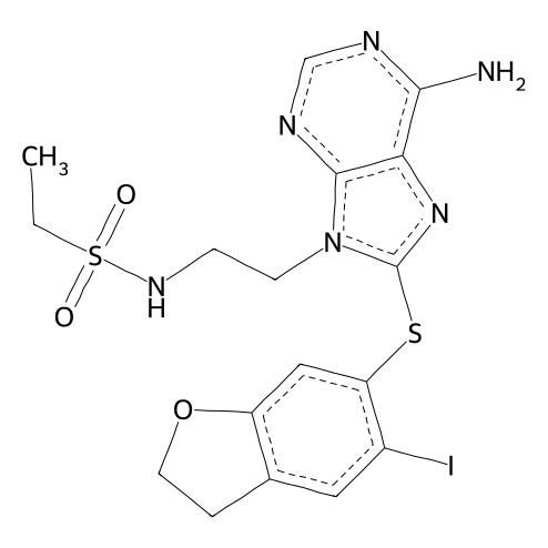 CCS(=O)(=O)NCCn1c(Sc2cc3c(cc2I)CCO3)nc2c(N)ncnc21